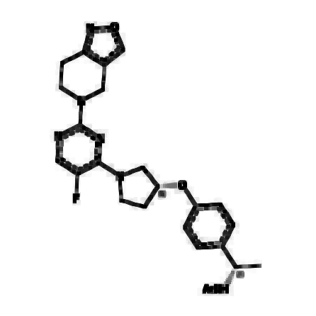 CC(=O)N[C@@H](C)c1ccc(O[C@@H]2CCN(c3nc(N4CCc5nocc5C4)ncc3F)C2)cc1